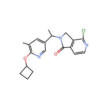 Cc1cc(C(C)N2Cc3c(ccnc3Cl)C2=O)cnc1OC1CCC1